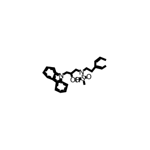 C/C=C\C(=C/C)CCN(CC(O)Cn1c2ccccc2c2ccccc21)S(C)(=O)=O